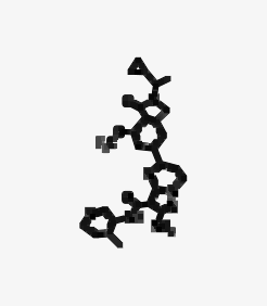 Cc1ccncc1NC(=O)c1c(N)nn2ccc(-c3cc4c(c(OC(F)(F)F)c3)C(=O)N(C(C)C3CC3)C4)nc12